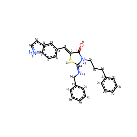 O=C1C(=Cc2ccc3[nH]ccc3c2)SC(=NCc2ccccc2)N1CCCc1ccccc1